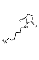 NCCCCCNN1C(=O)CCC1=O